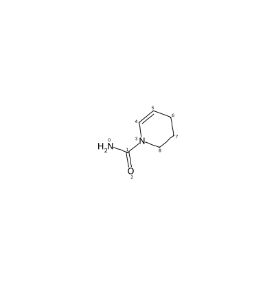 NC(=O)N1C=CCCC1